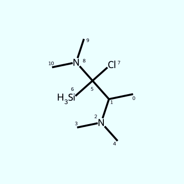 CC(N(C)C)C([SiH3])(Cl)N(C)C